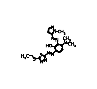 CCSc1nnc(/N=N/c2ccc(N(C)C)c(/N=N/c3ccnn3C)c2O)s1